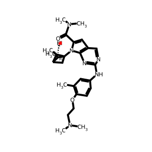 Cc1cc(Nc2ncc3cc(C(=O)N(C)C)n(C45CC([C@H]4C)[C@H]5C)c3n2)ccc1OCCN(C)C